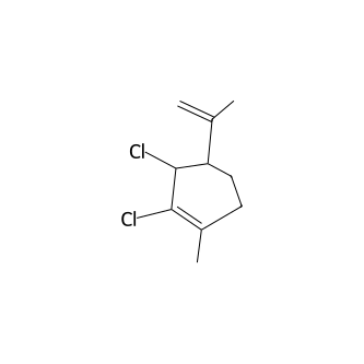 C=C(C)C1CCC(C)=C(Cl)C1Cl